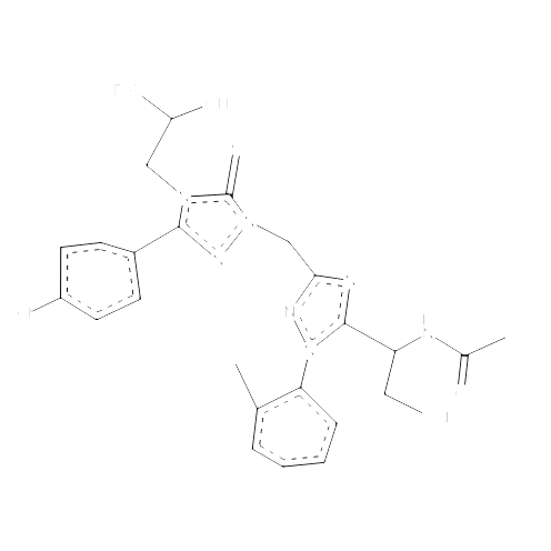 O=C(NC(CO)c1nc(Cn2nc(-c3ccc(Cl)cc3)n(CC(O)C(F)(F)F)c2=O)nn1-c1ccccc1Cl)C(F)(F)F